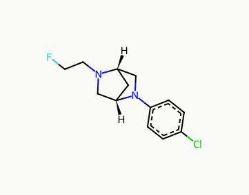 FCCN1C[C@@H]2C[C@H]1CN2c1ccc(Cl)cc1